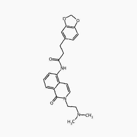 CN(C)CCn1ccc2c(NC(=O)CCc3ccc4c(c3)OCO4)cccc2c1=O